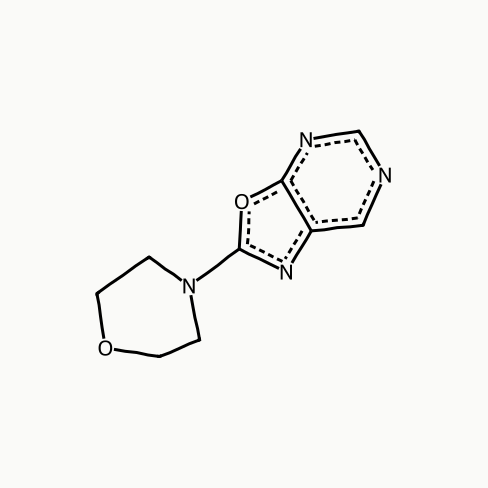 c1ncc2nc(N3CCOCC3)oc2n1